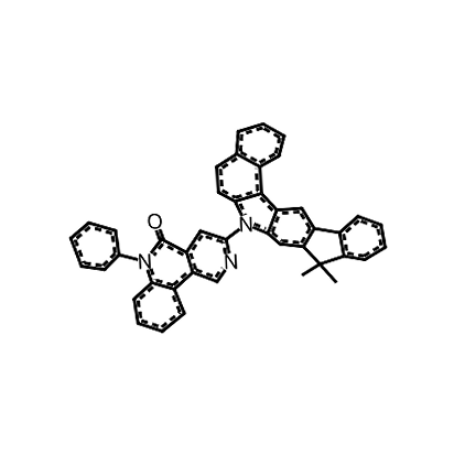 CC1(C)c2ccccc2-c2cc3c4c5ccccc5ccc4n(-c4cc5c(=O)n(-c6ccccc6)c6ccccc6c5cn4)c3cc21